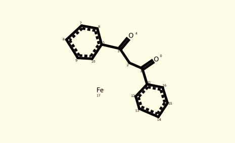 O=C(CC(=O)c1ccccc1)c1ccccc1.[Fe]